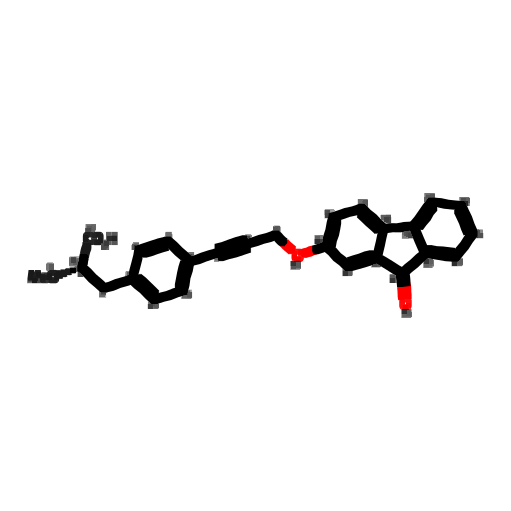 CO[C@@H](Cc1ccc(C#CCOc2ccc3c(c2)C(=O)c2ccccc2-3)cc1)C(=O)O